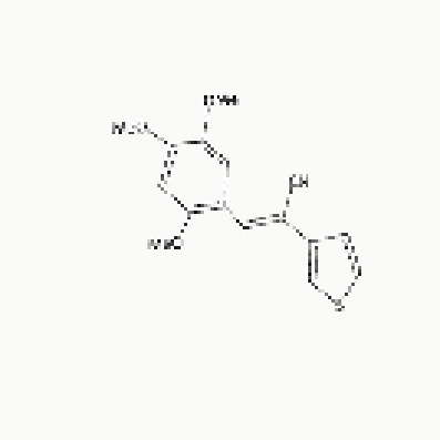 COc1cc(OC)c(OC)cc1/C=C(\C#N)c1ccsc1